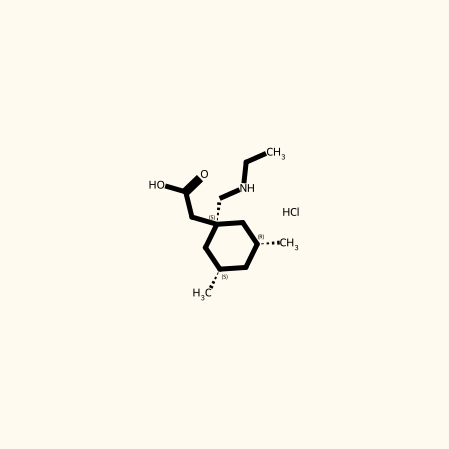 CCNC[C@]1(CC(=O)O)C[C@H](C)C[C@H](C)C1.Cl